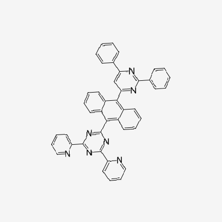 c1ccc(-c2cc(-c3c4ccccc4c(-c4nc(-c5ccccn5)nc(-c5ccccn5)n4)c4ccccc34)nc(-c3ccccc3)n2)cc1